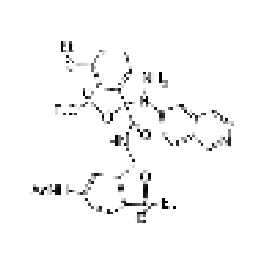 CCOc1cccc(C(OC(=O)C(F)(F)F)(C(=O)NCc2cc(NC(C)=O)ccc2S(=O)(=O)CC)N(N)c2ccc3cnccc3c2)c1